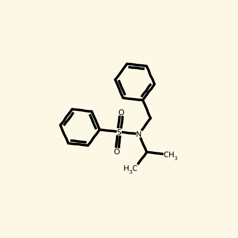 CC(C)N(Cc1ccccc1)S(=O)(=O)c1ccccc1